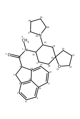 CN(C(=O)C1Cc2cccc3cccc1c23)C1CCC2(CCCO2)CC1N1CCCC1